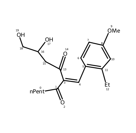 CCCCCC(=O)C(=Cc1ccc(OC)cc1CC)C(=O)[CH]C(O)CO